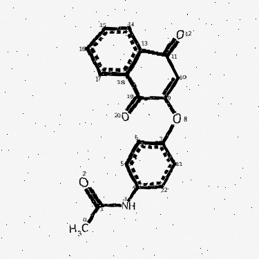 CC(=O)Nc1ccc(OC2=CC(=O)c3ccccc3C2=O)cc1